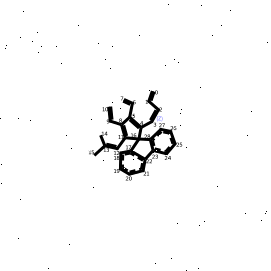 C=C/C=C\C1=C(C=C)C(C=C)=C(C=C(C)C)C12c1ccccc1-c1ccccc12